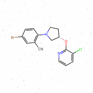 N#Cc1cc(Br)ccc1N1CC[C@H](Oc2ncccc2Cl)C1